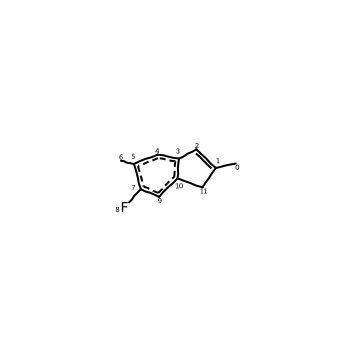 CC1=Cc2cc(C)c(F)cc2C1